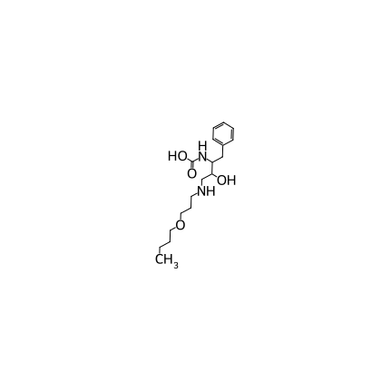 CCCCOCCCNCC(O)C(Cc1ccccc1)NC(=O)O